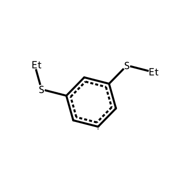 CCSc1c[c]cc(SCC)c1